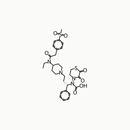 CCN(C(=O)Cc1ccc(S(C)(=O)=O)cc1)C1CCN(CC[C@@H](c2ccccc2)N(C(=O)O)N2CCSC(=O)C2=O)CC1